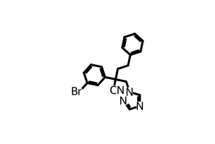 N#CC(CCc1ccccc1)(Cn1cncn1)c1cccc(Br)c1